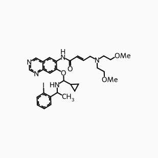 COCCN(CC=CC(=O)Nc1cc2cncnc2cc1OC(NC(C)c1ccccc1I)C1CC1)CCOC